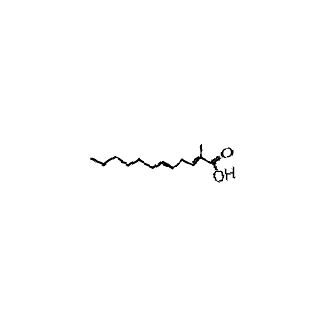 CCCCCC/C=C/C/C=C(\C)C(=O)O